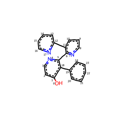 Oc1ccnc(-c2ncccc2-c2ccccn2)c1-c1ccccc1